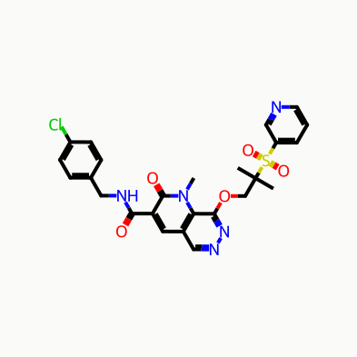 Cn1c(=O)c(C(=O)NCc2ccc(Cl)cc2)cc2cnnc(OCC(C)(C)S(=O)(=O)c3cccnc3)c21